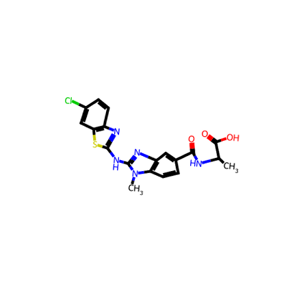 CC(NC(=O)c1ccc2c(c1)nc(Nc1nc3ccc(Cl)cc3s1)n2C)C(=O)O